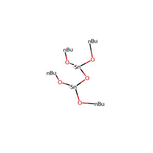 CCCC[O][Sn]([O]CCCC)[O][Sn]([O]CCCC)[O]CCCC